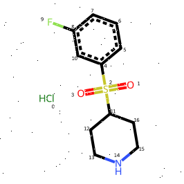 Cl.O=S(=O)(c1cccc(F)c1)C1CCNCC1